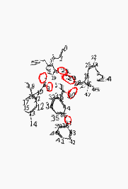 C=CCC1=C(C)C(OC(=O)C2C(C=C(C)C)C2(C)C)CC1=O.CC(C)=CC1C(C(=O)OCc2cccc(Oc3ccccc3)c2)C1(C)C